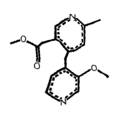 COC(=O)c1cnc(C)cc1-c1ccncc1OC